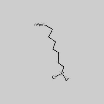 CCCCCCCCCCCC[S+]([O-])Cl